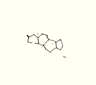 CCCCO[C@H]1CC[C@H]2[C@@H]3CC[C@H]4CC(=O)CC[C@]4(C)[C@H]3CC[C@]12C